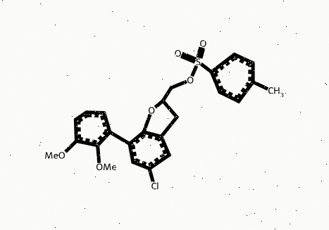 COc1cccc(-c2cc(Cl)cc3c2OC(COS(=O)(=O)c2ccc(C)cc2)C3)c1OC